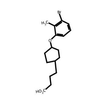 Cc1c(Br)cccc1OC1CCC(CCCC(=O)O)CC1